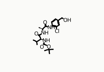 CC(C)[C@H](NC(=O)OC(C)(C)C)C(=O)N[C@@H](C)C(=O)Nc1ccc(CO)cc1Cl